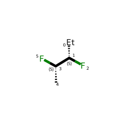 CC[C@H](F)[C@H](C)F